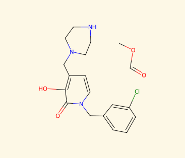 COC=O.O=c1c(O)c(CN2CCNCC2)ccn1Cc1cccc(Cl)c1